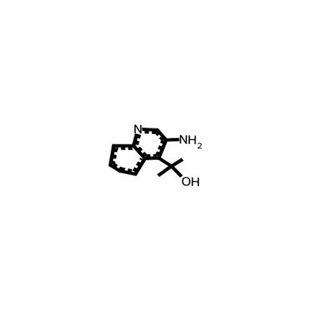 CC(C)(O)c1c(N)cnc2ccccc12